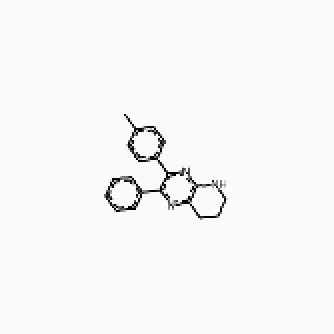 Cc1ccc(-c2nc3c(nc2-c2ccccc2)CCCN3)cc1